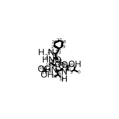 CC(C)C[C@H](NC(=O)[C@@H](NC(=O)[C@H](CCC(=O)O)NC(=O)[C@@H](N)Cc1ccccc1)C(C)C)C(=O)O